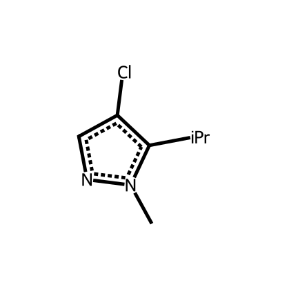 CC(C)c1c(Cl)cnn1C